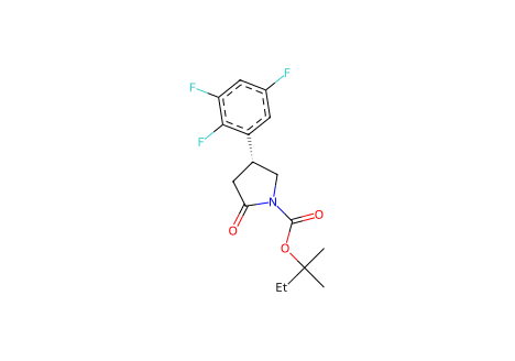 CCC(C)(C)OC(=O)N1C[C@@H](c2cc(F)cc(F)c2F)CC1=O